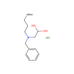 CCCCCCCCCCCCN(Cc1ccccc1)CC(O)O.Cl